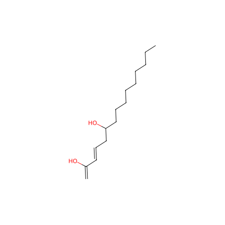 C=C(O)C=CCC(O)CCCCCCCCC